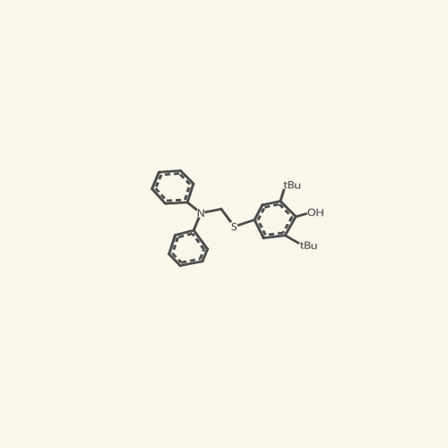 CC(C)(C)c1cc(SCN(c2ccccc2)c2ccccc2)cc(C(C)(C)C)c1O